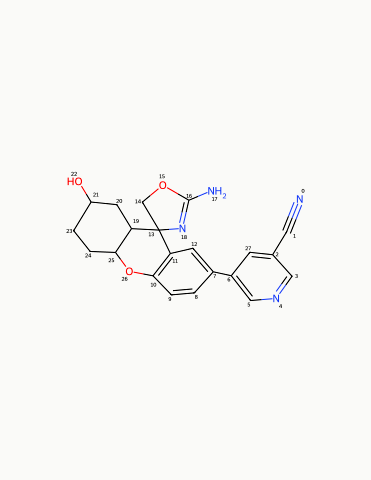 N#Cc1cncc(-c2ccc3c(c2)C2(COC(N)=N2)C2CC(O)CCC2O3)c1